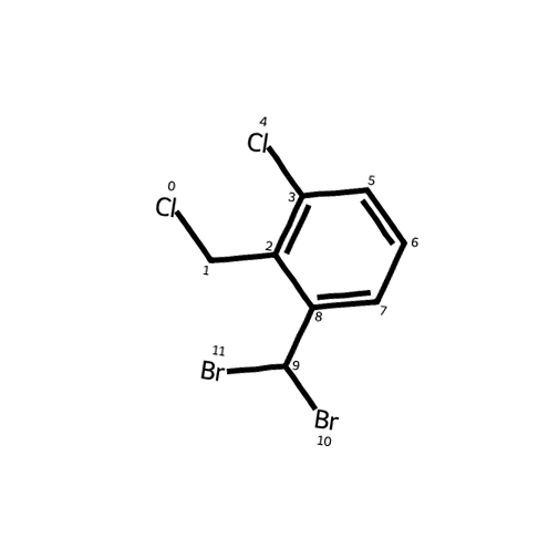 ClCc1c(Cl)cccc1C(Br)Br